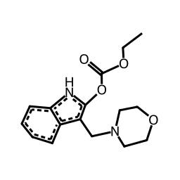 CCOC(=O)Oc1[nH]c2ccccc2c1CN1CCOCC1